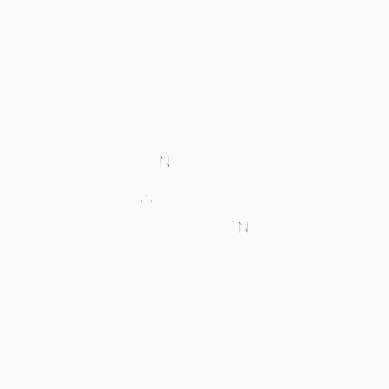 N#CC1=C[N]OC1